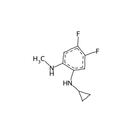 CNc1cc(F)c(F)cc1NC1CC1